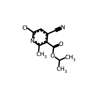 Cc1nc(Cl)cc(C#N)c1C(=O)OC(C)C